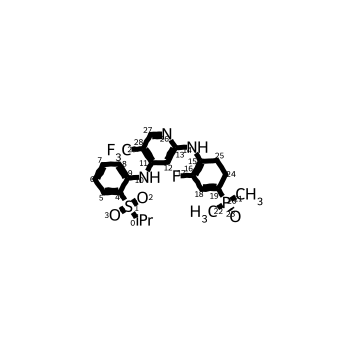 CC(C)S(=O)(=O)c1ccccc1Nc1cc(NC2=C(F)C=C(P(C)(C)=O)CC2)ncc1C(F)(F)F